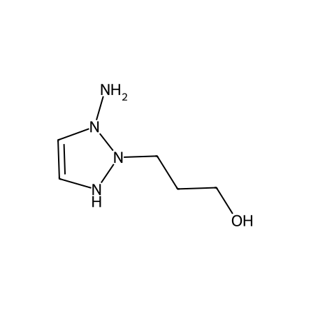 NN1C=CNN1CCCO